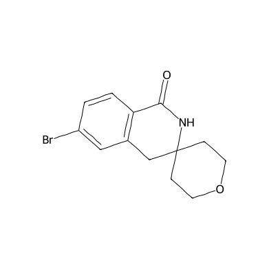 O=C1NC2(CCOCC2)Cc2cc(Br)ccc21